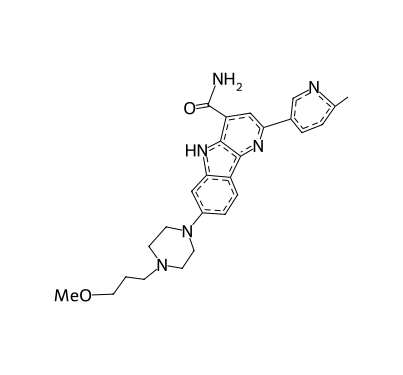 COCCCN1CCN(c2ccc3c(c2)[nH]c2c(C(N)=O)cc(-c4ccc(C)nc4)nc23)CC1